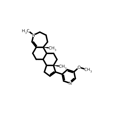 COc1cncc(C2=CCC3C4CCC5=CN(C)CCC[C@]5(C)C4CC[C@]23C)c1